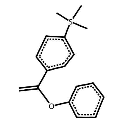 C=C(Oc1ccccc1)c1ccc(S(C)(C)C)cc1